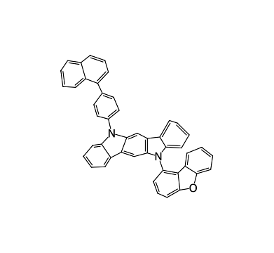 c1ccc2c(-c3ccc(-n4c5ccccc5c5cc6c(cc54)c4ccccc4n6-c4cccc5oc6ccccc6c45)cc3)cccc2c1